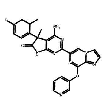 CC1CC(F)=CC=C1C1(C)C(=O)Nc2nc(-c3cn4ccnc4c(Oc4cccnc4)n3)nc(N)c21